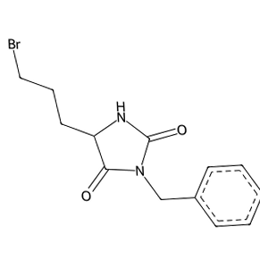 O=C1NC(CCCBr)C(=O)N1Cc1ccccc1